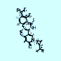 C[C@@H](Nc1ncnc2cc(=O)n([C@@H]3CC3C(F)F)cc12)c1cccc(C(F)F)c1F